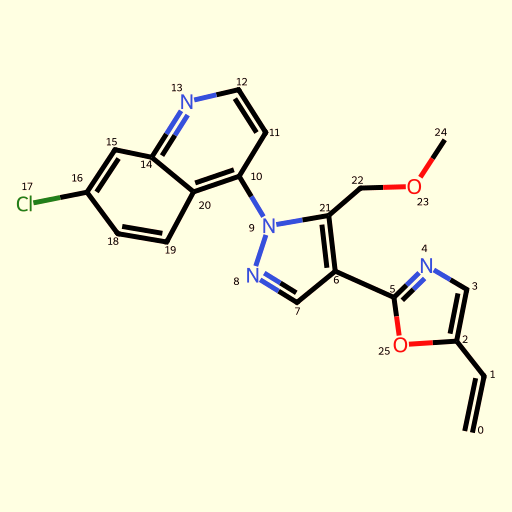 C=Cc1cnc(-c2cnn(-c3ccnc4cc(Cl)ccc34)c2COC)o1